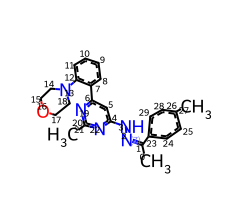 C/C(=N/Nc1cc(-c2ccccc2N2CCOCC2)nc(C)n1)c1ccc(C)cc1